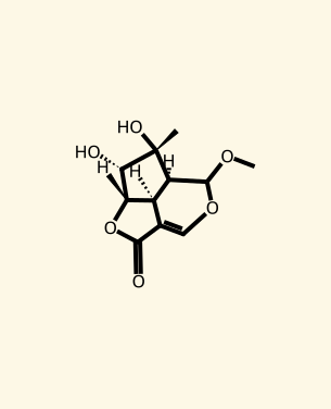 COC1OC=C2C(=O)O[C@H]3[C@H]2[C@H]1[C@@](C)(O)[C@H]3O